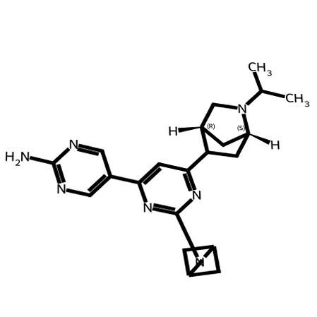 CC(C)N1C[C@@H]2C[C@H]1CC2c1cc(-c2cnc(N)nc2)nc(N2CC3CC2C3)n1